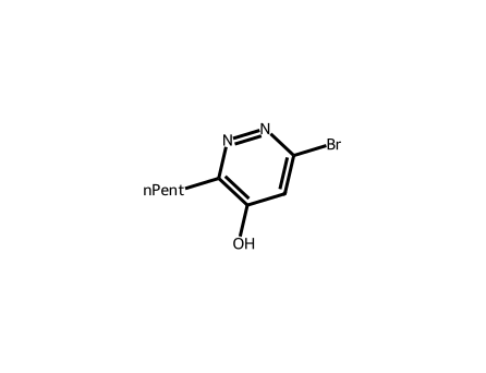 CCCCCc1nnc(Br)cc1O